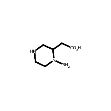 BN1CCNCC1CC(=O)O